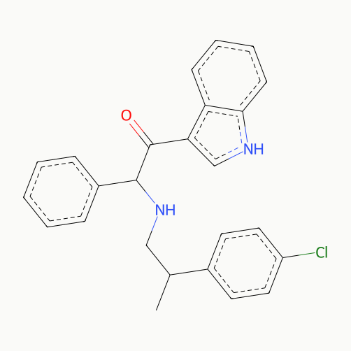 CC(CNC(C(=O)c1c[nH]c2ccccc12)c1ccccc1)c1ccc(Cl)cc1